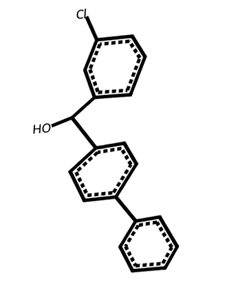 OC(c1ccc(-c2ccccc2)cc1)c1cccc(Cl)c1